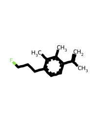 C=C(C)c1ccc(CCCF)c(C)c1C